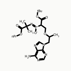 CCCOC(=O)C(C)(C)/N=[P+](\[O-])C(COC(C)Cn1cnc2c(N)ncnc21)C(=O)OC(C)(C)C